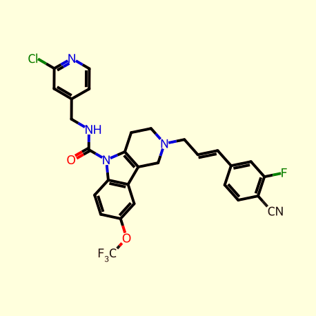 N#Cc1ccc(C=CCN2CCc3c(c4cc(OC(F)(F)F)ccc4n3C(=O)NCc3ccnc(Cl)c3)C2)cc1F